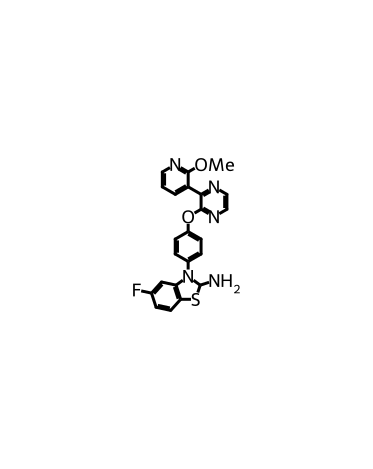 COc1ncccc1-c1nccnc1Oc1ccc(N2c3cc(F)ccc3SC2N)cc1